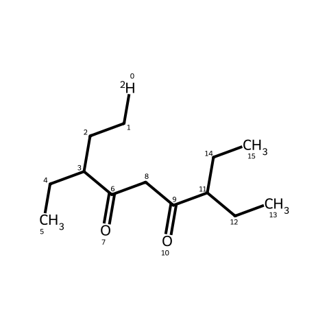 [2H]CCC(CC)C(=O)CC(=O)C(CC)CC